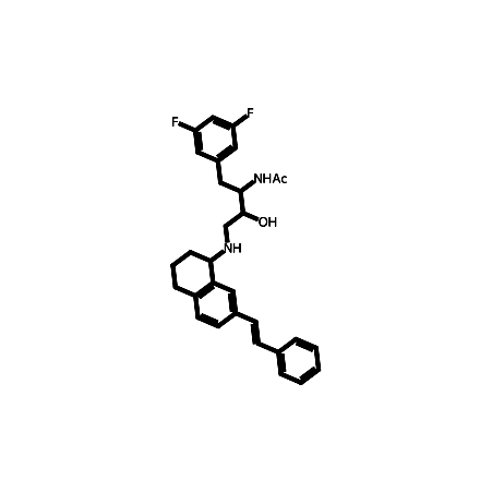 CC(=O)NC(Cc1cc(F)cc(F)c1)C(O)CNC1CCCc2ccc(C=Cc3ccccc3)cc21